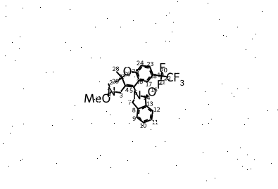 CON(C)CC1=C(N2Cc3ccccc3C2=O)c2cc(C(F)(F)C(F)(F)F)ccc2OC1(C)C